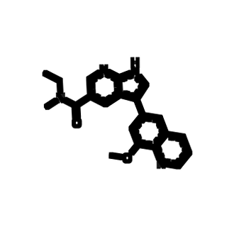 CCN(C)C(=O)c1cnc2[nH]cc(-c3cc(OC)c4ncccc4c3)c2c1